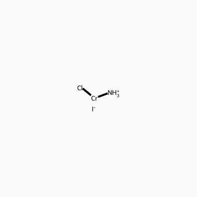 [I-].[NH3+][Cr][Cl]